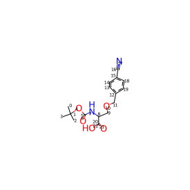 CC(C)(C)OC(=O)NC(COCc1ccc(C#N)cc1)C(=O)O